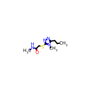 CCCc1nnc(SCC(=O)NC)n1C